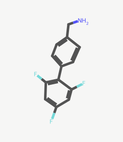 NCc1ccc(-c2c(F)cc(F)cc2F)cc1